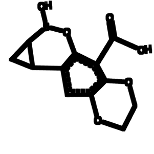 O=C(O)c1c2c(cc3c1OB(O)C1CC31)OCCO2